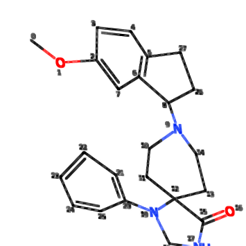 COc1ccc2c(c1)C(N1CCC3(CC1)C(=O)NCN3c1ccccc1)CC2